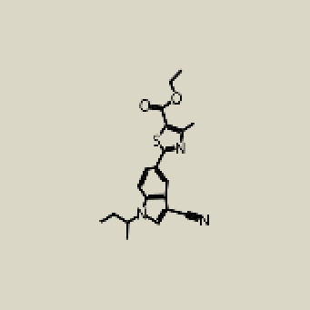 CCOC(=O)c1sc(-c2ccc3c(c2)c(C#N)cn3C(C)CC)nc1C